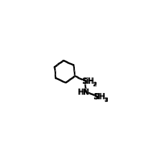 [SiH3]N[SiH2]C1CCCCC1